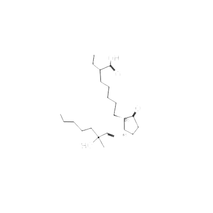 CCCCCC(C)(O)C=C[C@H]1CCC(=O)[C@@H]1CCCCCC(CC)C(=O)O